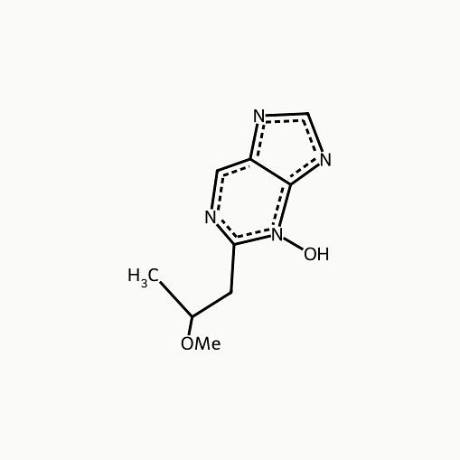 COC(C)Cc1ncc2ncnc-2n1O